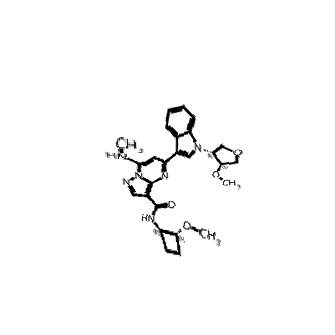 CNc1cc(-c2cn([C@@H]3COC[C@H]3OC)c3ccccc23)nc2c(C(=O)N[C@@H]3CC[C@H]3OC)cnn12